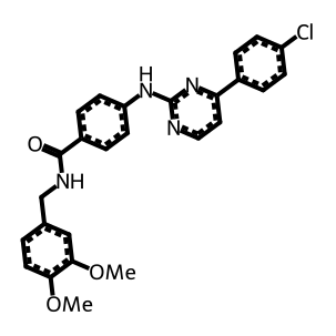 COc1ccc(CNC(=O)c2ccc(Nc3nccc(-c4ccc(Cl)cc4)n3)cc2)cc1OC